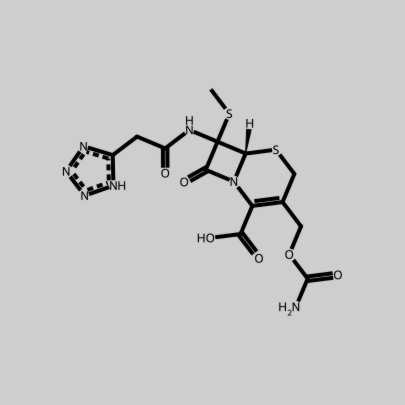 CSC1(NC(=O)Cc2nnn[nH]2)C(=O)N2C(C(=O)O)=C(COC(N)=O)CS[C@H]21